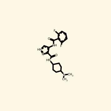 CN(C)C1CCC(NC(=O)c2n[nH]cc2NC(=O)c2c(F)cccc2F)CC1